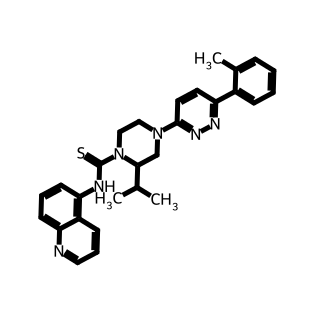 Cc1ccccc1-c1ccc(N2CCN(C(=S)Nc3cccc4ncccc34)C(C(C)C)C2)nn1